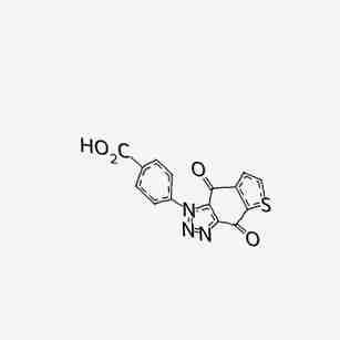 O=C(O)c1ccc(-n2nnc3c2C(=O)c2ccsc2C3=O)cc1